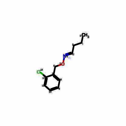 CCC/[C]=N/OCc1ccccc1Cl